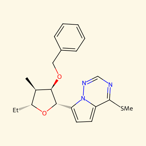 CC[C@H]1O[C@@H](c2ccc3c(SC)ncnn23)[C@H](OCc2ccccc2)[C@@H]1C